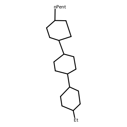 CCCCCC1CCC(C2CCC(C3CCC(CC)CC3)CC2)CC1